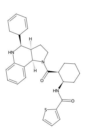 O=C(N[C@@H]1CCCC[C@@H]1C(=O)N1CC[C@@H]2[C@H](C3C=CC=CC3)Nc3ccccc3[C@@H]21)c1cccs1